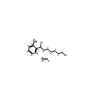 CCCCCCCC(I)c1ccccc1S.[BaH2]